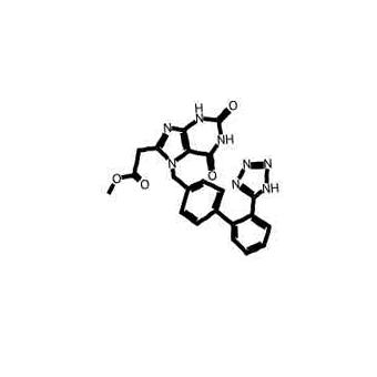 COC(=O)Cc1nc2[nH]c(=O)[nH]c(=O)c2n1Cc1ccc(-c2ccccc2-c2nnn[nH]2)cc1